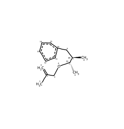 C=C(C)CO[C@@H](C)[C@H](C)Cc1ccccc1